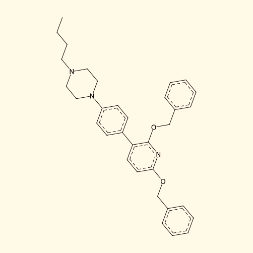 CCCCN1CCN(c2ccc(-c3ccc(OCc4ccccc4)nc3OCc3ccccc3)cc2)CC1